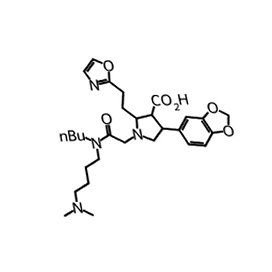 CCCCN(CCCCN(C)C)C(=O)CN1CC(c2ccc3c(c2)OCO3)C(C(=O)O)C1CCc1ncco1